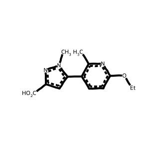 CCOc1ccc(-c2cc(C(=O)O)nn2C)c(C)n1